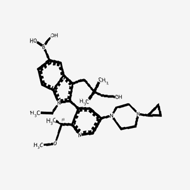 CCn1c(-c2cc(N3CCN(C4CC4)CC3)cnc2[C@H](C)OC)c(CC(C)(C)CO)c2cc(B(O)O)ccc21